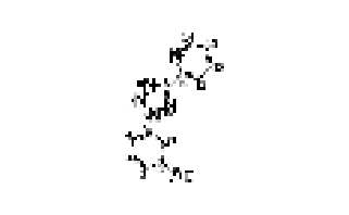 CC(=O)c1cccc(-n2nnc(-c3ccccn3)n2)c1